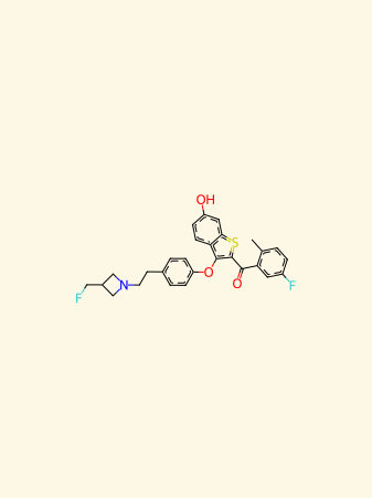 Cc1ccc(F)cc1C(=O)c1sc2cc(O)ccc2c1Oc1ccc(CCN2CC(CF)C2)cc1